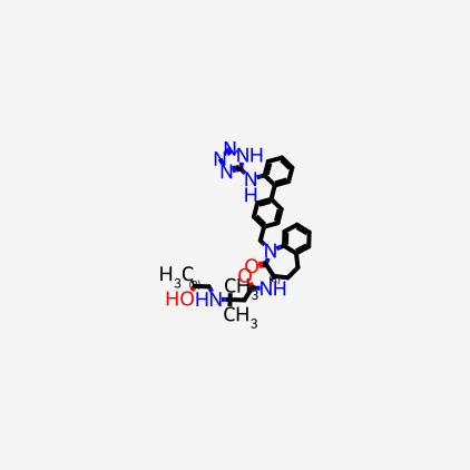 C[C@@H](O)CNC(C)(C)CC(=O)N[C@@H]1CCc2ccccc2N(Cc2ccc(-c3ccccc3Nc3nnn[nH]3)cc2)C1=O